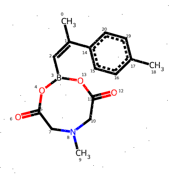 CC(=CB1OC(=O)CN(C)CC(=O)O1)c1ccc(C)cc1